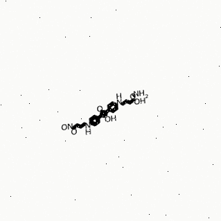 NO[C@@H](O)CCCNC1C=CC(C2C(=O)C(c3ccc(NCCCC(=O)N=O)cc3)=C2O)C=C1